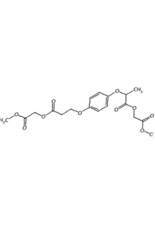 COC(=O)COC(=O)CCOc1ccc(OC(C)C(=O)OCC(=O)OC)cc1